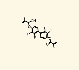 C=C(C)C(=O)Oc1ccc(-c2ccc(OC(O)C(=C)C)c(F)c2F)c(F)c1F